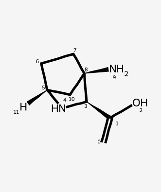 C=C(O)[C@H]1N[C@@H]2CC[C@@]1(N)C2